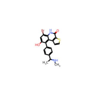 CNC(C)c1ccc(-c2c(O)cc(Br)c3[nH]c(=O)c4sccc4c23)cc1